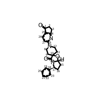 O=C1CCc2nc(N3CCC4(CC3)O[C@@H]3CC[C@@H](c5ccccc5)N3C4=O)ccc21